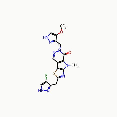 Cn1c2nc(Cc3n[nH]cc3F)sc2c2cnn(Cc3n[nH]cc3OC(F)(F)F)c(=O)c21